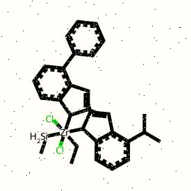 C[CH2][Zr]([Cl])([Cl])([SiH2]C)([CH]1C(C)=Cc2c(-c3ccccc3)cccc21)[CH]1C(C)=Cc2c(C(C)C)cccc21